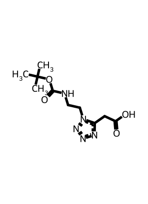 CC(C)(C)OC(=O)NCCn1nnnc1CC(=O)O